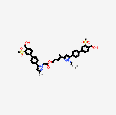 C/C(=C\CCOC(=O)Cn1nc(C(C)C)cc1-c1ccc(-c2ccc(CO)c(S(C)(=O)=O)c2)cc1)c1cc(-c2ccc(-c3ccc(CO)c(S(C)(=O)=O)c3)cc2)n(CC(=O)O)n1